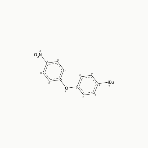 CCC(C)c1ccc(Oc2ccc([N+](=O)[O-])cc2)cc1